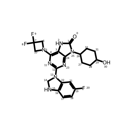 O=c1[nH]c2c(N3CC(F)(F)C3)nc(N3CNc4ccc(F)cc43)nc2n1C1CCC(O)CC1